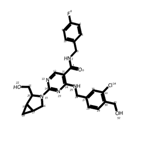 O=C(NCc1ccc(F)cc1)c1cnc(N2CC3CC3C2CO)nc1NCc1ccc(CO)c(Cl)c1